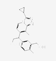 CCOC(=O)CC(c1ccc(C)c(CO)c1)c1ccn2c(C3CC3)nnc2c1C